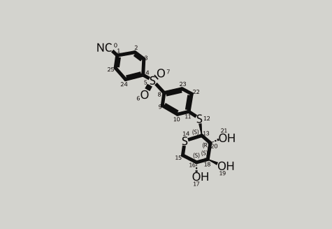 N#Cc1ccc(S(=O)(=O)c2ccc(S[C@@H]3SC[C@@H](O)[C@H](O)[C@H]3O)cc2)cc1